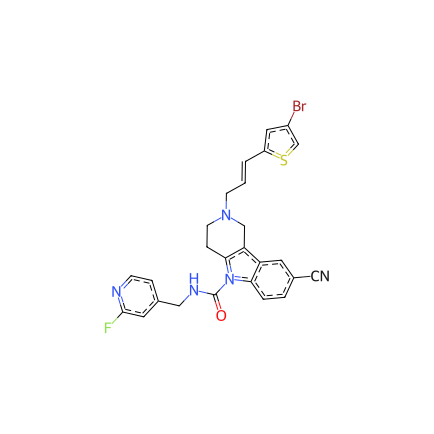 N#Cc1ccc2c(c1)c1c(n2C(=O)NCc2ccnc(F)c2)CCN(CC=Cc2cc(Br)cs2)C1